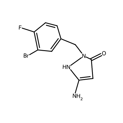 Nc1cc(=O)n(Cc2ccc(F)c(Br)c2)[nH]1